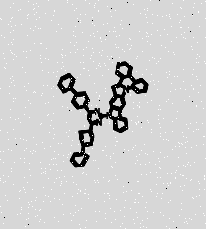 c1ccc(-c2ccc(-c3cc(-c4ccc(-c5ccccc5)cc4)nc(-n4c5ccccc5c5cc6c(cc54)cc4c5ccccc5c5ccccc5n64)n3)cc2)cc1